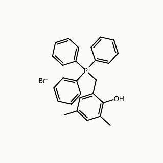 Cc1cc(C)c(O)c(C[P+](c2ccccc2)(c2ccccc2)c2ccccc2)c1.[Br-]